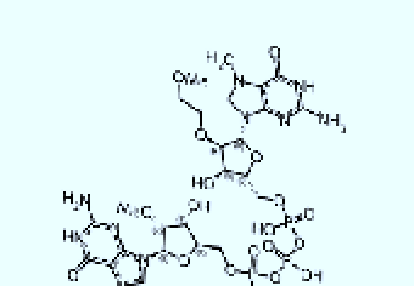 COCCO[C@@H]1[C@H](O)[C@@H](COP(=O)(O)OP(=O)(O)OP(=O)(O)OC[C@H]2O[C@@H](n3cnc4c(=O)[nH]c(N)nc43)[C@H](OC)[C@@H]2O)O[C@H]1N1CN(C)c2c1nc(N)[nH]c2=O